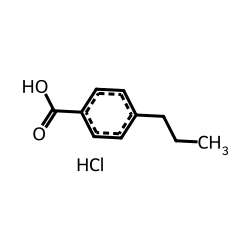 CCCc1ccc(C(=O)O)cc1.Cl